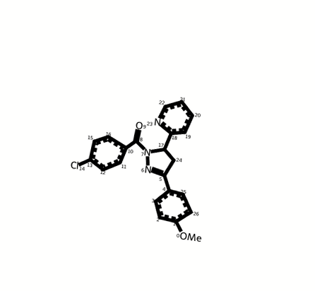 COc1ccc(C2=NN(C(=O)c3ccc(Cl)cc3)C(c3ccccn3)C2)cc1